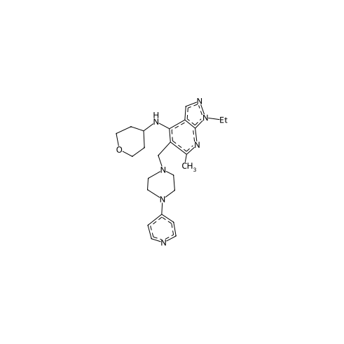 CCn1ncc2c(NC3CCOCC3)c(CN3CCN(c4ccncc4)CC3)c(C)nc21